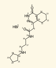 Br.O=C(Cc1n[nH]c(=O)c2c1CCCC2)NCCCNC1CCCC1